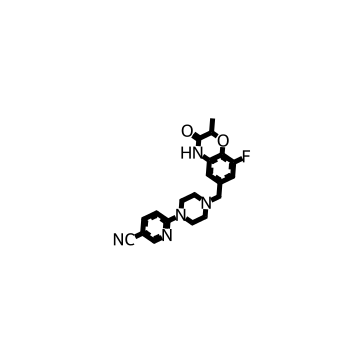 CC1Oc2c(F)cc(CN3CCN(c4ccc(C#N)cn4)CC3)cc2NC1=O